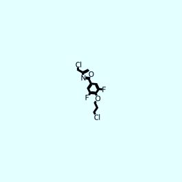 Fc1cc(-c2nc(CCl)co2)cc(F)c1OCCCCl